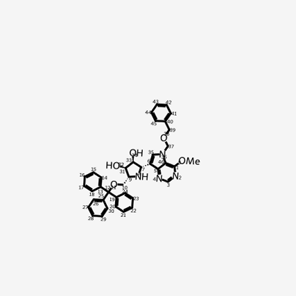 COc1ncnc2c([C@@H]3N[C@H](COC(c4ccccc4)(c4ccccc4)c4ccccc4)[C@@H](O)[C@H]3O)cn(COCc3ccccc3)c12